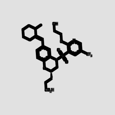 CC1CCCC/C1=C\c1ccc2c(c1)N(S(=O)(=O)c1cc(C(F)(F)F)cnc1OCCO)C[C@H](CCC(=O)O)O2